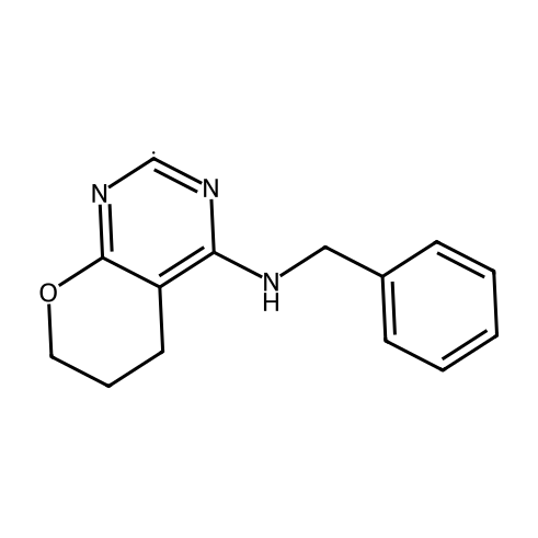 [c]1nc(NCc2ccccc2)c2c(n1)OCCC2